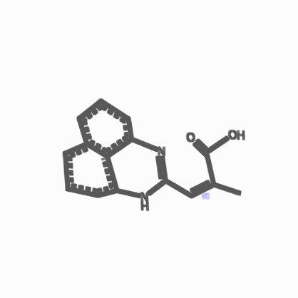 C/C(=C/C1=Nc2cccc3cccc(c23)N1)C(=O)O